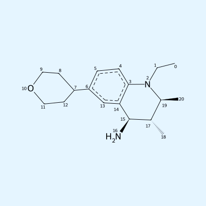 CCN1c2ccc(C3CCOCC3)cc2[C@H](N)[C@@H](C)[C@@H]1C